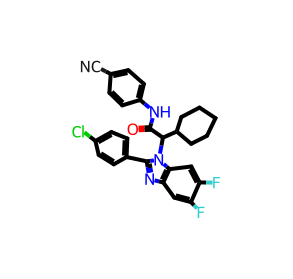 N#Cc1ccc(NC(=O)C(C2CCCCC2)n2c(-c3ccc(Cl)cc3)nc3cc(F)c(F)cc32)cc1